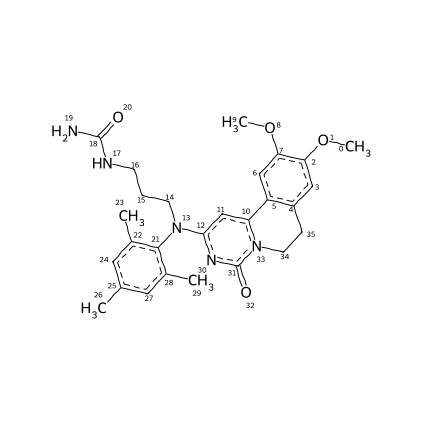 COc1cc2c(cc1OC)-c1cc(N(CCCNC(N)=O)c3c(C)cc(C)cc3C)nc(=O)n1CC2